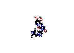 COc1ccnc(CN2CC(=O)N(c3cnn(CC4=C(C)N=C4C)c3)C2=O)c1OC